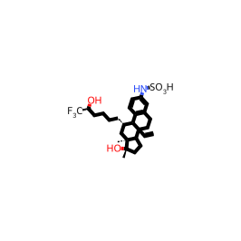 C=CC12CCc3cc(NS(=O)(=O)O)ccc3C1[C@@H](CCCC[C@H](O)C(F)(F)F)C[C@@]1(C)C2CC[C@]1(C)O